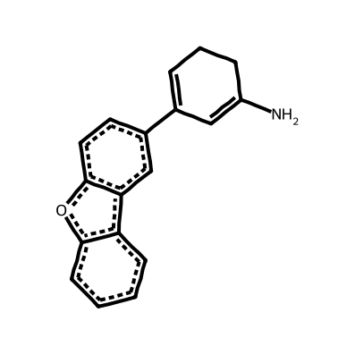 NC1=CC(c2ccc3oc4ccccc4c3c2)=CCC1